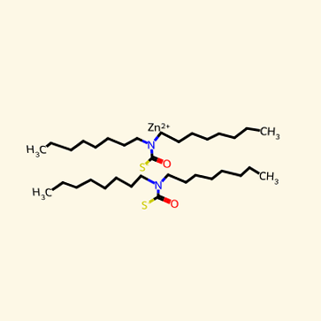 CCCCCCCCN(CCCCCCCC)C(=O)[S-].CCCCCCCCN(CCCCCCCC)C(=O)[S-].[Zn+2]